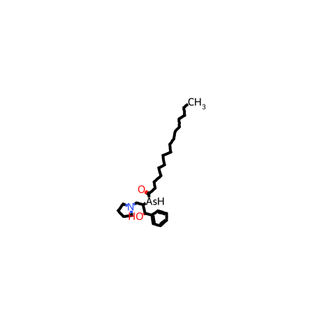 CCCCCCCCCCCCCCCC(=O)[AsH]C(CN1CCCC1)C(O)c1ccccc1